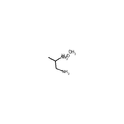 CC(N)CN.O.O